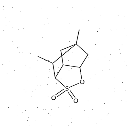 CC1C2C3CC1(C)CC3OS2(=O)=O